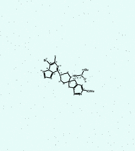 COc1cc2c(cn1)CC1(CCN(c3nc(C)c(Br)n4nccc34)CC1)[C@@H]2N[S+]([O-])C(C)(C)C